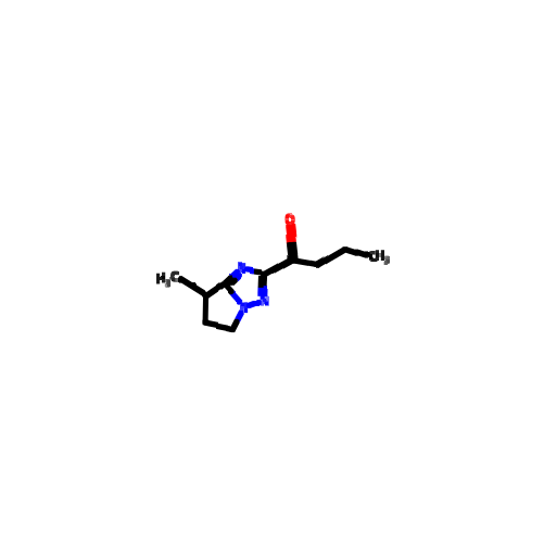 CCCC(=O)c1nc2n(n1)CCC2C